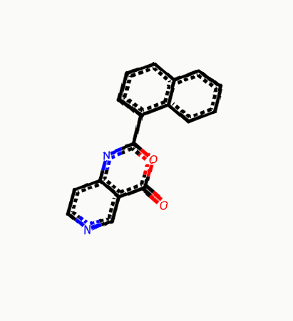 O=c1oc(-c2cccc3ccccc23)nc2ccncc12